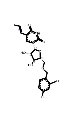 O=c1[nH]c(=O)n([C@@H]2O[C@H](COCc3ccc(Cl)cc3Cl)[C@@H](O)[C@@H]2O)cc1/C=C/I